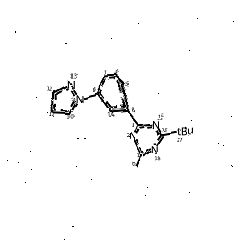 Cc1nc(-c2cccc(-n3cccn3)c2)nc(C(C)(C)C)n1